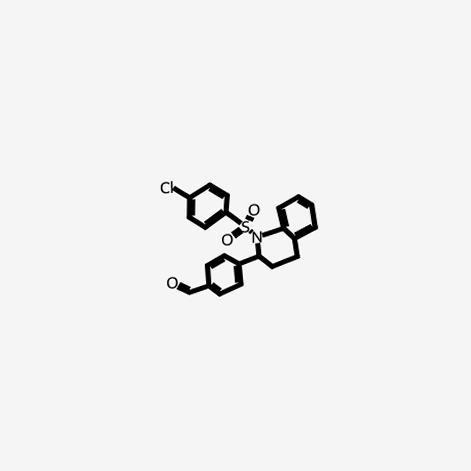 O=Cc1ccc(C2CCc3ccccc3N2S(=O)(=O)c2ccc(Cl)cc2)cc1